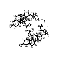 CCC(=O)OC1(C)CC[C@H]2[C@@H]3CCC4=CC(=O)CC[C@]4(C)[C@@H]3C(OC(=O)CC(=O)OC3C[C@@]4(C)[C@@H](CCC4(C)OC(=O)CC)[C@@H]4CCC5=CC(=O)CC[C@]5(C)[C@H]34)C[C@@]21C